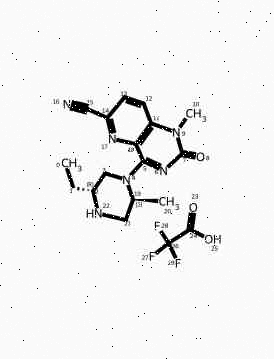 CC[C@@H]1CN(c2nc(=O)n(C)c3ccc(C#N)nc23)[C@@H](C)CN1.O=C(O)C(F)(F)F